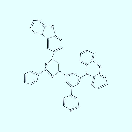 c1ccc(-c2nc(-c3cc(-c4ccncc4)cc(N4c5ccccc5Oc5ccccc54)c3)cc(-c3ccc4oc5ccccc5c4c3)n2)cc1